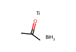 CC(C)=O.[BiH3].[Ti]